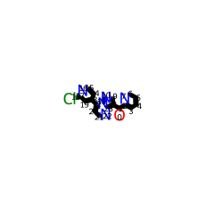 O=C(c1ccccn1)c1cnn2c(-c3ccnc(Cl)c3)ccnc12